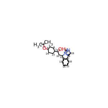 CC(C)OC1CCC(C(O)CC2c3ccccc3-c3cncn32)CC1